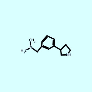 CN(C)Cc1cccc(C2CCNC2)c1